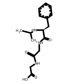 CC(C)N[C@@H](Cc1ccccc1)C(=O)NCC(=O)NCC(=O)O